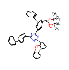 CC1(C)OB(c2cc(-c3ccccc3)cc(-c3nc(-c4ccc(-c5ccccc5)cc4)nc(-c4cccc5c4oc4ccccc45)n3)c2)OC1(C)C